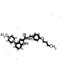 CCCCOc1ccc(CNC(=O)c2cc3c(N4CCN(C)CC4)cccc3[nH]2)cc1